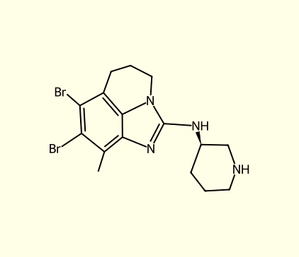 Cc1c(Br)c(Br)c2c3c1nc(N[C@@H]1CCCNC1)n3CCC2